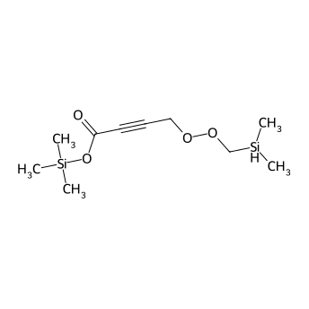 C[SiH](C)COOCC#CC(=O)O[Si](C)(C)C